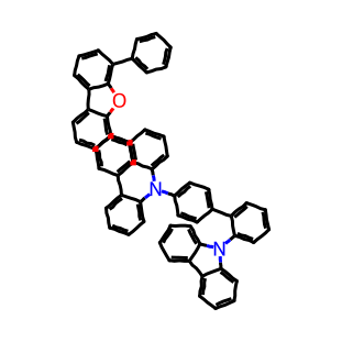 c1ccc(-c2ccccc2N(c2ccc(-c3ccccc3-n3c4ccccc4c4ccccc43)cc2)c2cccc(-c3cccc4c3oc3c(-c5ccccc5)cccc34)c2)cc1